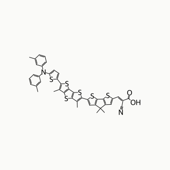 Cc1cccc(N(c2cccc(C)c2)c2ccc(-c3sc4c(sc5c(C)c(-c6cc7c(s6)-c6sc(/C=C(\C#N)C(=O)O)cc6C7(C)C)sc54)c3C)s2)c1